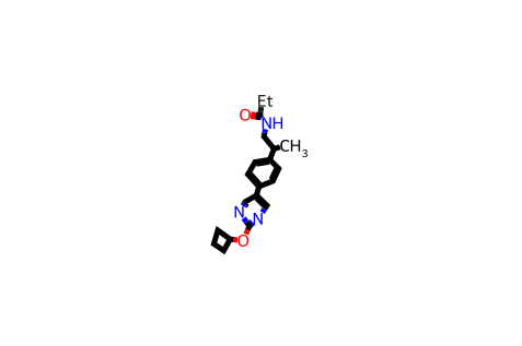 CCC(=O)NCC(C)c1ccc(-c2cnc(OC3CCC3)nc2)cc1